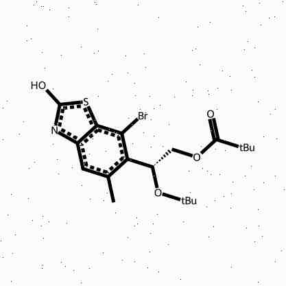 Cc1cc2nc(O)sc2c(Br)c1[C@H](COC(=O)C(C)(C)C)OC(C)(C)C